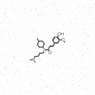 COc1cc(C=CC(=O)N(CCCCN(C)C)C2CCC(C)CC2)ccc1O